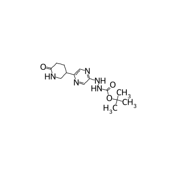 CC(C)(C)OC(=O)NNc1cnc(C2CCC(=O)NC2)cn1